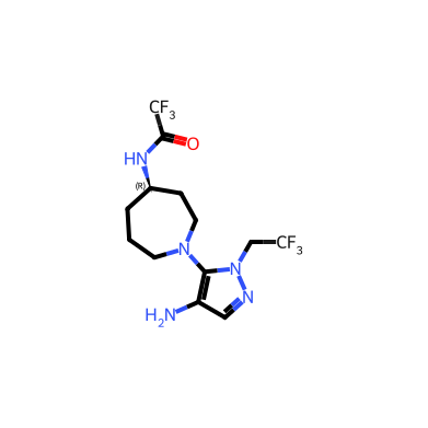 Nc1cnn(CC(F)(F)F)c1N1CCC[C@@H](NC(=O)C(F)(F)F)CC1